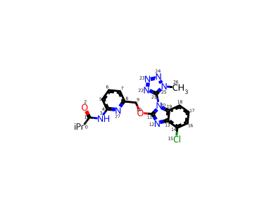 CC(C)C(=O)Nc1cccc(COc2nc3c(Cl)cccc3n2-c2nnnn2C)n1